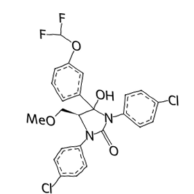 COC[C@@H]1N(c2ccc(Cl)cc2)C(=O)N(c2ccc(Cl)cc2)C1(O)c1cccc(OC(F)F)c1